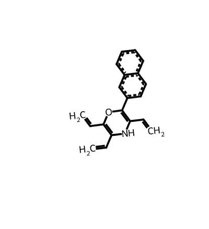 C=CC1=C(C=C)OC(c2ccc3ccccc3c2)=C(C=C)N1